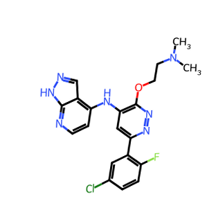 CN(C)CCOc1nnc(-c2cc(Cl)ccc2F)cc1Nc1ccnc2[nH]ncc12